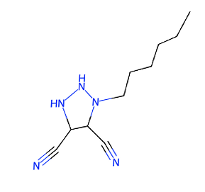 CCCCCCN1NNC(C#N)C1C#N